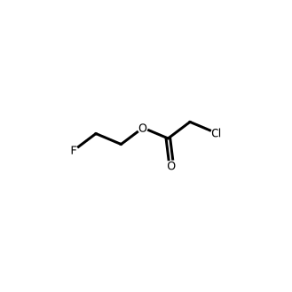 O=C(CCl)OCCF